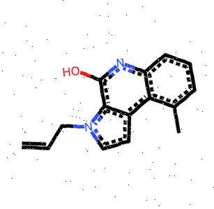 C=CCn1ccc2c3c(C)cccc3nc(O)c21